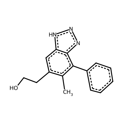 Cc1c(CCO)cc2[nH]nnc2c1-c1ccccc1